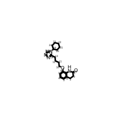 O=C1CCc2cccc(OCCCCc3nnnn3C3CCCCC3)c2N1